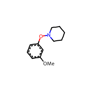 COc1cccc(ON2CCCCC2)c1